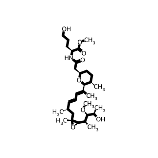 COC(=O)[C@H](CCCO)NC(=O)C[C@H]1CC[C@H](C)[C@@H](/C(C)=C/C=C/[C@@H](C)C[C@@]2(C)O[C@@H]2[C@H](C)[C@@H](OC)[C@@H](C)O)O1